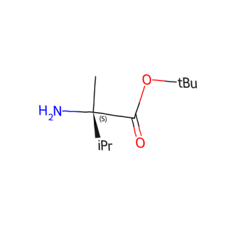 CC(C)[C@](C)(N)C(=O)OC(C)(C)C